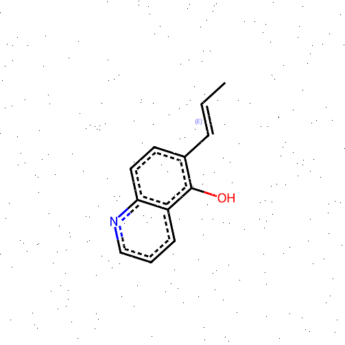 C/C=C/c1ccc2ncccc2c1O